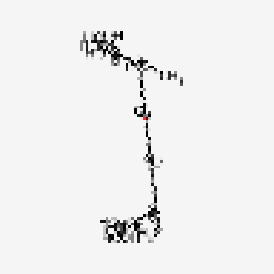 CCCCCC[C@H](CCCCCCCCCCC(=O)OCCCCCCCCCCOC(=O)CCCCCCCCCC[C@@H](CCCCCC)OC(=O)CCCC(=O)OCC1OC(O)[C@@H](O)C(O)[C@H]1O)OC(=O)CCCC(=O)OCC1OC(O)[C@@H](O)C(O)[C@H]1O